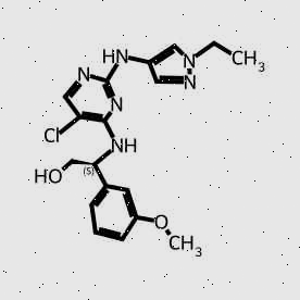 CCn1cc(Nc2ncc(Cl)c(N[C@H](CO)c3cccc(OC)c3)n2)cn1